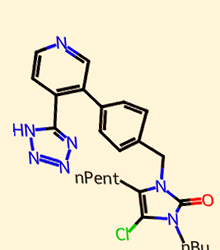 CCCCCc1c(Cl)n(CCCC)c(=O)n1Cc1ccc(-c2cnccc2-c2nnn[nH]2)cc1